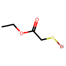 CCOC(=O)CSBr